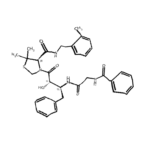 Cc1ccccc1CNC(=O)[C@H]1N(C(=O)[C@@H](O)[C@H](Cc2ccccc2)NC(=O)CNC(=O)c2ccccc2)CSC1(C)C